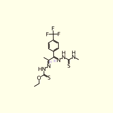 CCOC(=S)N/N=C(C)/C(=N/NC(=S)NC)c1ccc(C(F)(F)F)cc1